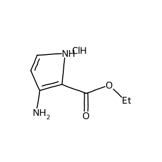 CCOC(=O)c1[nH]ccc1N.Cl